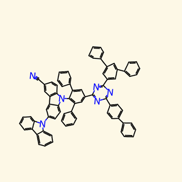 N#Cc1ccc2c(c1)c1cc(-n3c4ccccc4c4ccccc43)ccc1n2-c1c(-c2ccccc2)cc(-c2nc(-c3ccc(-c4ccccc4)cc3)nc(-c3cc(-c4ccccc4)cc(-c4ccccc4)c3)n2)cc1-c1ccccc1